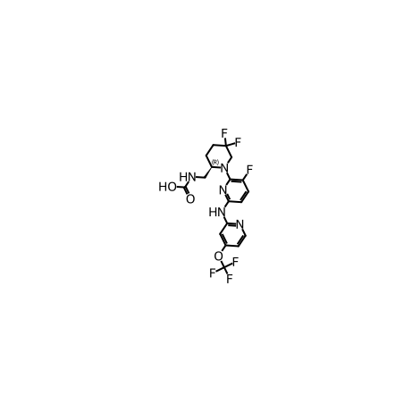 O=C(O)NC[C@H]1CCC(F)(F)CN1c1nc(Nc2cc(OC(F)(F)F)ccn2)ccc1F